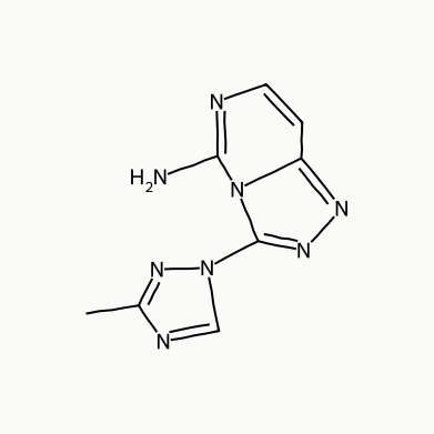 Cc1ncn(-c2nnc3ccnc(N)n23)n1